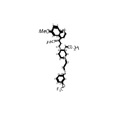 COc1ccc2nccc([C@H](O)CC[C@@H]3CCN(CCSc4cccc(OC(F)(F)F)c4)C[C@@H]3CC(=O)O)c2c1